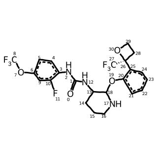 O=C(Nc1ccc(OC(F)(F)F)cc1F)NC1CCCNC1Oc1ccccc1[C@]1(C(F)(F)F)CCO1